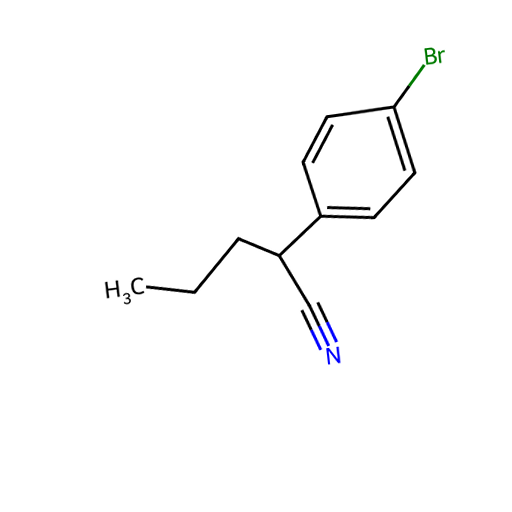 CCCC(C#N)c1ccc(Br)cc1